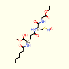 CCCCCC(=O)N[C@@H](CCC(=O)N[C@@H](CSN=O)C(=O)NCC(=O)OCC)C(O)OC